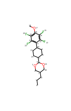 CCCC1COC(C2CCC(c3c(F)c(F)c(OC)c(F)c3F)CC2)OC1